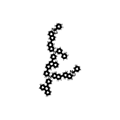 c1ccc(-c2cccc(N(c3ccc(-c4cc5ccc(-c6cccc(N(c7ccc(-c8cc9ccccc9c9ccccc89)cc7)c7ccc8cc(-c9ccc%10c(ccc%11oc(-c%12ccccc%12)nc%11%10)c9)ccc8c7)c6)cc5c5ccccc45)cc3)c3ccc4ccc(-c5ccc6c(ccc7nc(-c8ccccc8)oc76)c5)cc4c3)c2)cc1